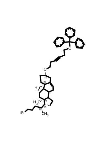 CC(C)CCC[C@@H](C)[C@H]1CCC2C3CC=C4C[C@@H](OCCC#CCCOC(c5ccccc5)(c5ccccc5)c5ccccc5)CC[C@]4(C)C3CC[C@@]21C